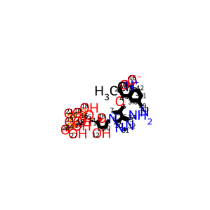 CC(C)[C@H](OCc1cn([C@H]2CC(O)[C@@H](COP(=O)(O)OP(=O)(O)OP(=O)(O)O)O2)c2ncnc(N)c12)c1cc(C#N)ccc1[N+](=O)[O-]